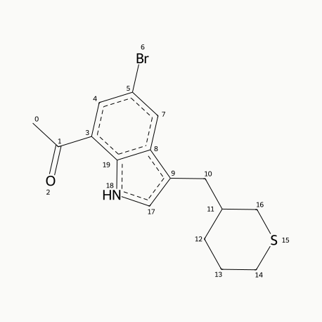 CC(=O)c1cc(Br)cc2c(CC3CCCSC3)c[nH]c12